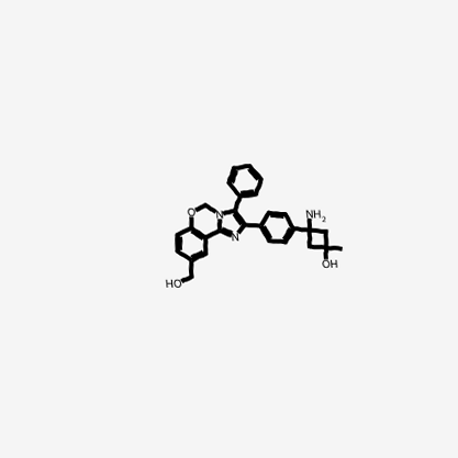 CC1(O)CC(N)(c2ccc(-c3nc4n(c3-c3ccccc3)COc3ccc(CO)cc3-4)cc2)C1